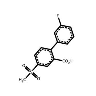 CS(=O)(=O)c1ccc(-c2cccc(F)c2)c(C(=O)O)c1